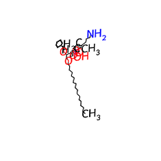 CCCCCCCCCCCCCCCCCCOCC(COP(=O)(O)OC(C)(C)C(C)CCCN)OCc1ccccc1